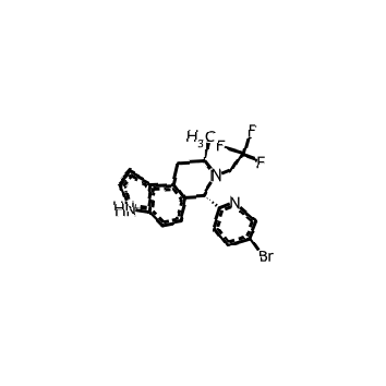 C[C@@H]1Cc2c(ccc3[nH]ccc23)[C@@H](c2ccc(Br)cn2)N1CC(F)(F)F